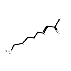 CCCCCCCCCCCC=CC([O])=O